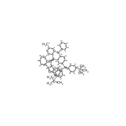 Cc1cc2c3c(c1)N(c1ccccc1)c1ccc(N(c4ccc(C(C)(C)C)cc4)c4ccc(C(C)(C)C)cc4)cc1B3n1c3c-2cccc3c2oc3ccccc3c21